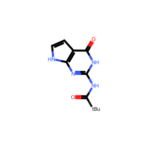 CC(C)(C)C(=O)Nc1nc2[nH]ccc2c(=O)[nH]1